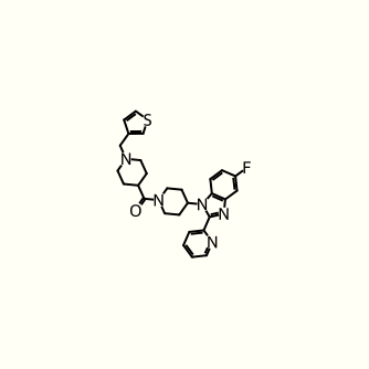 O=C(C1CCN(Cc2ccsc2)CC1)N1CCC(n2c(-c3ccccn3)nc3cc(F)ccc32)CC1